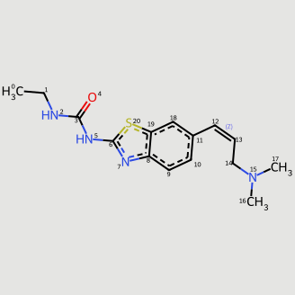 CCNC(=O)Nc1nc2ccc(/C=C\CN(C)C)cc2s1